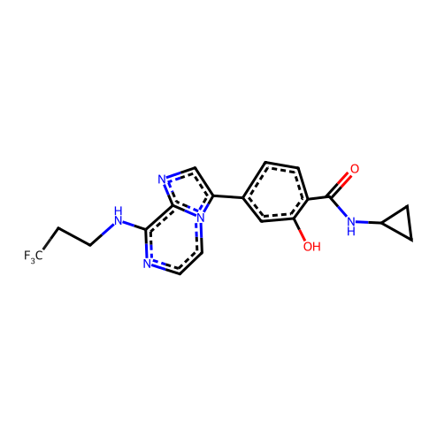 O=C(NC1CC1)c1ccc(-c2cnc3c(NCCC(F)(F)F)nccn23)cc1O